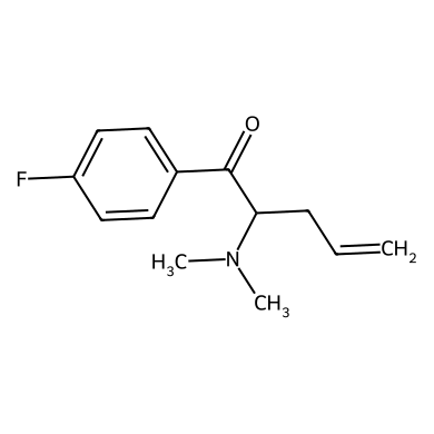 C=CCC(C(=O)c1ccc(F)cc1)N(C)C